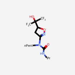 CCCCCN(C(=O)NC(C)C)C1=NOC(C(O)(C(F)(F)F)C(F)(F)F)C1